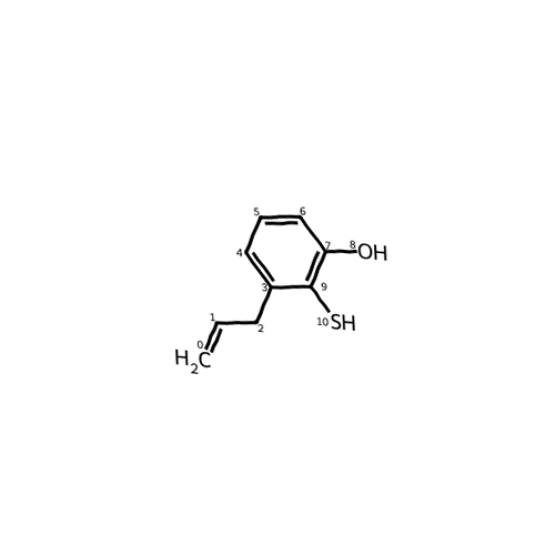 C=CCc1cccc(O)c1S